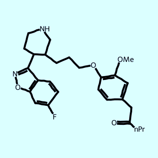 CCCC(=O)Cc1ccc(OCCCC2CNCCC2c2noc3cc(F)ccc23)c(OC)c1